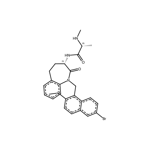 CN[C@H](C)C(=O)N[C@H]1CCc2ccccc2N(Cc2c(OC)ccc3cc(Br)ccc23)C1=O